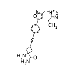 CCc1nccn1Cc1cc(-c2ccc(C#CC3CC(N)(C(N)=O)C3)cc2)on1